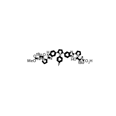 COC(=O)N[C@H](C(=O)N1CCC[C@H]1c1nc2cc([C@H]3CC[C@H](c4ccc5[nH]c([C@@H]6CCCN6C(=O)[C@@H](N(C)C(=O)O)C(C)(C)C)nc5c4)N3c3ccc(F)cc3)ccc2[nH]1)C(C)(C)C